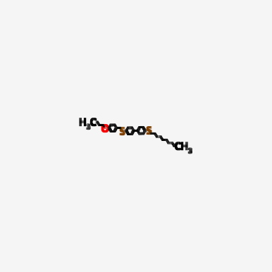 CCCCCCCCCCSc1ccc(-c2ccc(SCc3ccc(OCCCC)cc3)cc2)cc1